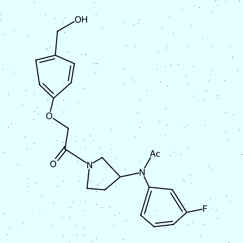 CC(=O)N(c1cccc(F)c1)C1CCN(C(=O)COc2ccc(CO)cc2)C1